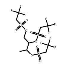 CC(OS(=O)(=O)CC(F)(F)F)C(COS(=O)(=O)CC(F)(F)F)OS(=O)(=O)CC(F)(F)F